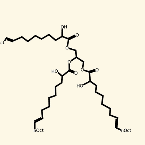 CCCCCCCCC=CCCCCCCC(O)C(=O)OCC(COC(=O)C(O)CCCCCCC=CCCCCCCCC)OC(=O)C(O)CCCCCCC=CCCCCCCCC